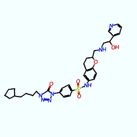 O=c1n(CCCCC2CCCC2)nnn1-c1ccc(S(=O)(=O)Nc2ccc3c(c2)CCC(CNCC(O)c2cccnc2)O3)cc1